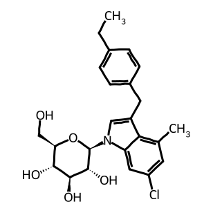 CCc1ccc(Cc2cn([C@@H]3O[C@H](CO)[C@@H](O)[C@H](O)[C@H]3O)c3cc(Cl)cc(C)c23)cc1